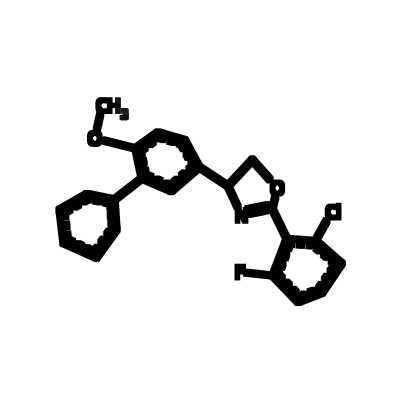 COc1ccc(C2COC(c3c(F)cccc3Cl)=N2)cc1-c1ccccc1